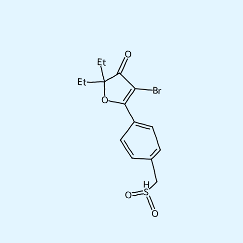 CCC1(CC)OC(c2ccc(C[SH](=O)=O)cc2)=C(Br)C1=O